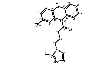 Cc1nccn1CCCC(=O)N1c2ccccc2Sc2ccc(Cl)cc21